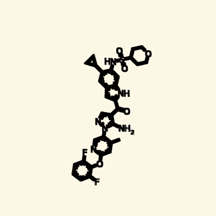 Cc1cc(Oc2c(F)cccc2F)ncc1-n1ncc(C(=O)c2cc3cc(C4CC4)c(NS(=O)(=O)C4CCOCC4)cc3[nH]2)c1N